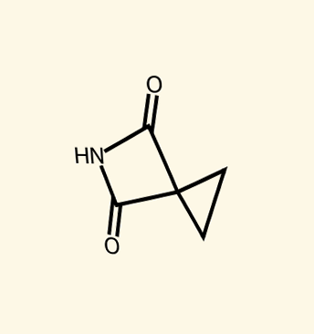 O=C1NC(=O)C12CC2